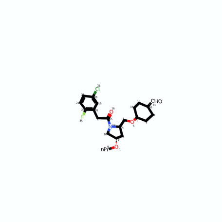 CCCO[C@H]1CC(COC2CCC(C=O)CC2)N(C(=O)Cc2cc(Cl)ccc2F)C1